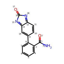 NC(=O)c1ccccc1-c1ccc2c(c1)=NC(=O)N=2